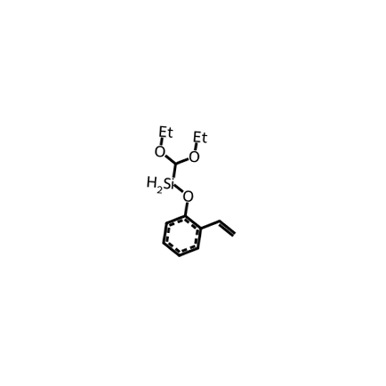 C=Cc1ccccc1O[SiH2]C(OCC)OCC